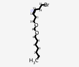 CCCCCCCOCOCC/C=C\CCBr